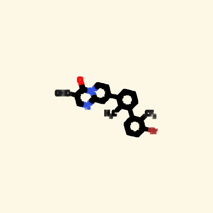 Cc1c(-c2ccn3c(=O)c(C=O)cnc3c2)cccc1-c1cccc(Br)c1C(F)(F)F